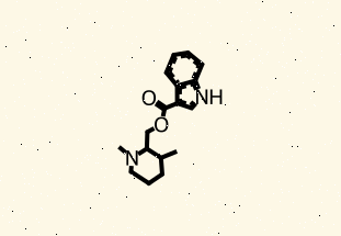 CC1CCCN(C)C1COC(=O)c1c[nH]c2ccccc12